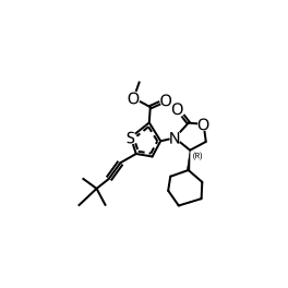 COC(=O)c1sc(C#CC(C)(C)C)cc1N1C(=O)OC[C@H]1C1CCCCC1